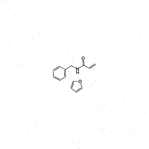 C=CC(=O)NCc1ccccc1.c1ccoc1